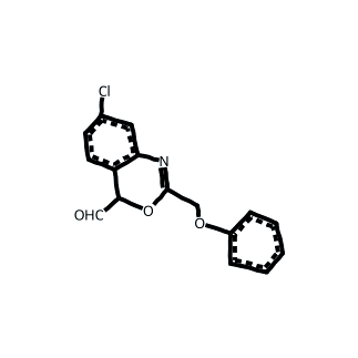 O=CC1OC(COc2ccccc2)=Nc2cc(Cl)ccc21